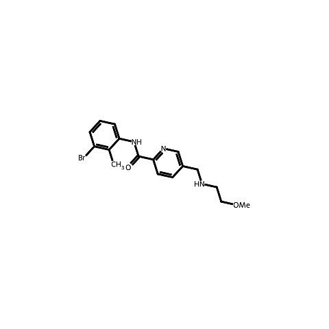 COCCNCc1ccc(C(=O)Nc2cccc(Br)c2C)nc1